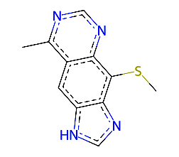 CSc1c2nc[nH]c2cc2c(C)ncnc12